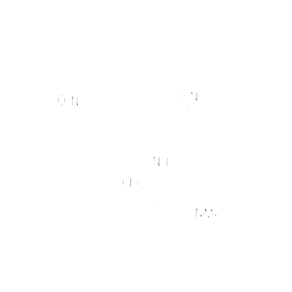 CNC(C(=O)NC(C=O)c1cccc([N+](=O)[O-])c1)c1cccc([N+](=O)[O-])c1